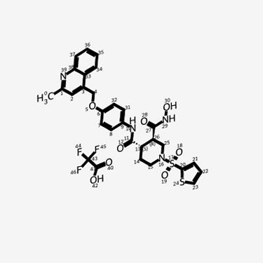 Cc1cc(COc2ccc(NC(=O)[C@H]3CCN(S(=O)(=O)c4cccs4)C[C@@H]3C(=O)NO)cc2)c2ccccc2n1.O=C(O)C(F)(F)F